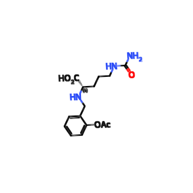 CC(=O)Oc1ccccc1CN[C@@H](CCCNC(N)=O)C(=O)O